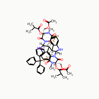 CC(=O)OC[C@@]1(OC(=O)C(C)C)C(=O)N2[C@H]3Nc4ccccc4[C@@]3([C@]34C[C@]5(SSC(c6ccccc6)(c6ccccc6)c6ccccc6)C(=O)N(C)[C@](COC(C)=O)(OC(=O)C(C)C)C(=O)N5[C@H]3Nc3cc#ccc34)C[C@]2(SS)C(=O)N1C